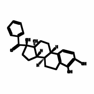 C[C@]12CC[C@@H]3c4ccc(O)c(O)c4CC[C@H]3[C@@H]1CC[C@]2(O)C(=O)c1ccccc1